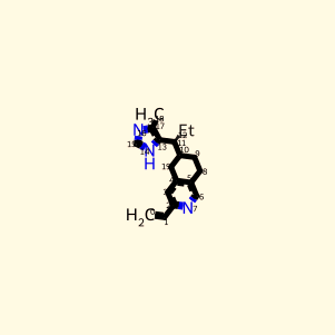 C=Cc1cc2c(cn1)CCC([C@H](CC)c1[nH]cnc1C)C2